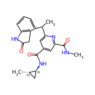 CNC(=O)c1cc(C(=O)N[C@H]2C[C@@H]2C)cc(C(C)c2cccc3c2CC(=O)N3)n1